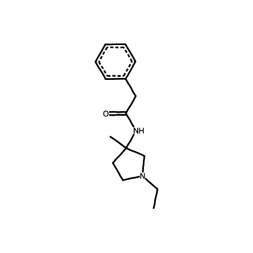 CCN1CCC(C)(NC(=O)Cc2ccccc2)C1